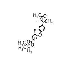 CC(=O)N[C@@H](C)c1ccc(O[C@H]2CN(C(=O)OC(C)(C)C)C[C@H]2F)cc1